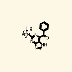 Nc1nc(C(=O)c2ccccc2)c2[nH]cnc2n1.[Cl][Hg]